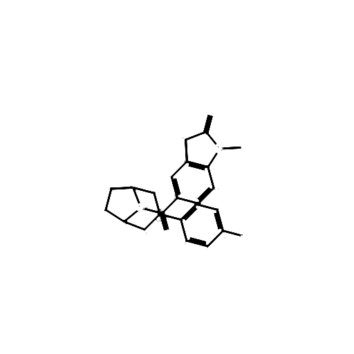 CN1C(=O)Cc2cc(C(=O)N3C4CCC3CC(c3ccc(F)cc3)C4)ccc21